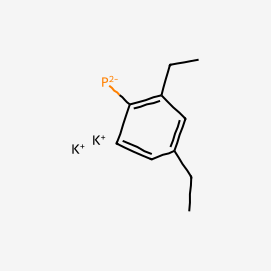 CCc1ccc([P-2])c(CC)c1.[K+].[K+]